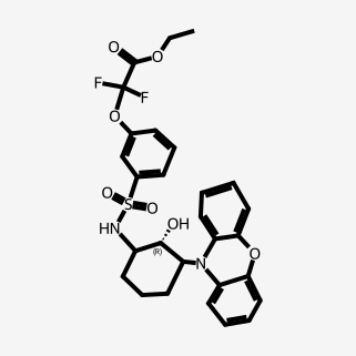 CCOC(=O)C(F)(F)Oc1cccc(S(=O)(=O)NC2CCCC(N3c4ccccc4Oc4ccccc43)[C@H]2O)c1